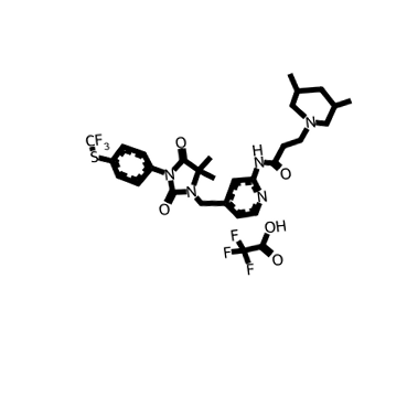 CC1CC(C)CN(CCC(=O)Nc2cc(CN3C(=O)N(c4ccc(SC(F)(F)F)cc4)C(=O)C3(C)C)ccn2)C1.O=C(O)C(F)(F)F